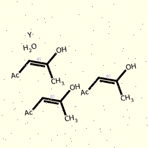 CC(=O)/C=C(\C)O.CC(=O)/C=C(\C)O.CC(=O)/C=C(\C)O.O.[Y]